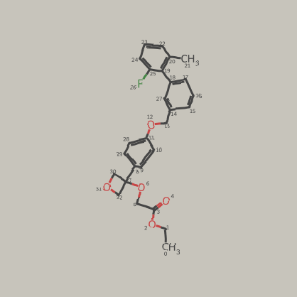 CCOC(=O)COC1(c2ccc(OCc3cccc(-c4c(C)cccc4F)c3)cc2)COC1